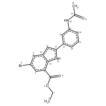 CCOC(=O)c1cc(Br)nc2cc(-c3ccnc(NC(C)=O)c3)[nH]c12